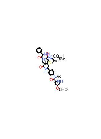 CC(=O)OCC1=C(C(=O)O)N2C(=O)C(N(Cc3ccc(-c4ccc(N(C(C)=O)C(=O)[C@@H]5CC(OC=O)CN5)cc4)[nH]c3=O)C(=O)C(N)c3ccccc3)[C@@H]2SC1